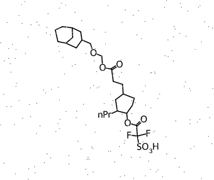 CCCC1CC(CCC(=O)OCOCC2CC3CCCC(C3)C2)CCC1OC(=O)C(F)(F)S(=O)(=O)O